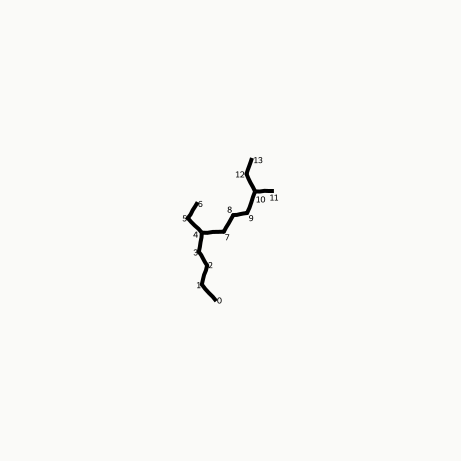 CCCCC(CC)CCCC(C)CC